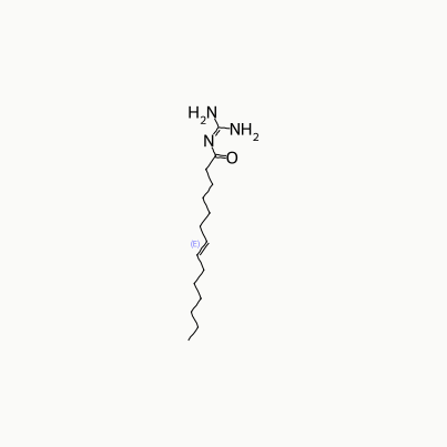 CCCCCC/C=C/CCCCCC(=O)N=C(N)N